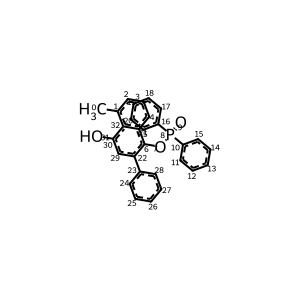 Cc1cccc2c(OP(=O)(c3ccccc3)c3ccccc3)c(-c3ccccc3)cc(O)c12